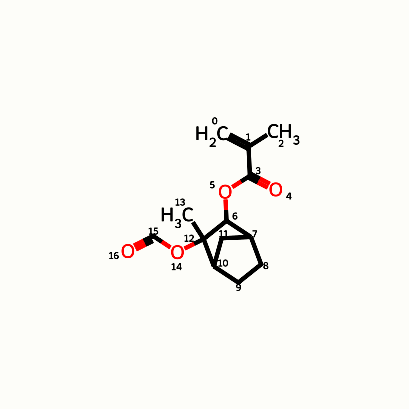 C=C(C)C(=O)OC1C2CCC(C2)C1(C)OC=O